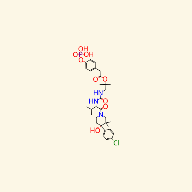 CC(C)C(NC(=O)NCC(C)(C)OC(=O)Cc1ccc(OP(=O)(O)O)cc1)C(=O)N1CCC(O)(c2ccc(Cl)cc2)C(C)(C)C1